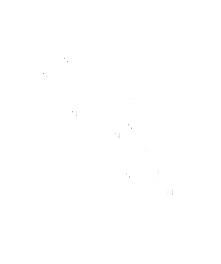 BBC1C2CC2(C)CN1C(=O)Cn1nc(C(C)=O)c2cc(-c3cnc(C)nc3)nc(C)c21